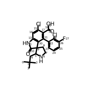 CC(C)(C)CC1NCCC12C(=O)Nc1cc(Cl)c(C(=O)O)c(-c3cccc(F)c3Cl)c12